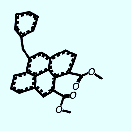 COC(=O)c1ccc2cc(Cc3ccccc3)c3cccc4cc(C(=O)OC)c1c2c43